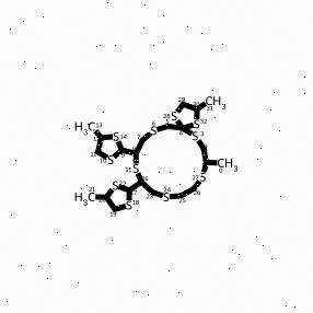 CC1CSC2(CSCC(C3SCC(C)S3)SC(C3SCC(C)S3)CSCCS1)SCC(C)S2